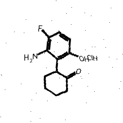 Cl.Nc1c(F)ccc(O)c1C1CCCCC1=O